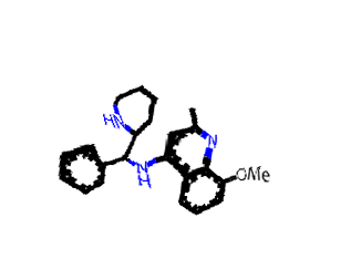 COc1cccc2c(N[C@@H](c3ccccc3)C3CCCCN3)cc(C)nc12